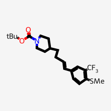 CSc1ccc(C=CCCC2CCN(C(=O)OC(C)(C)C)CC2)cc1C(F)(F)F